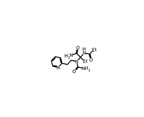 CCC(=O)NC(CC)(C(N)=O)N(CCc1ccccn1)C(N)=O